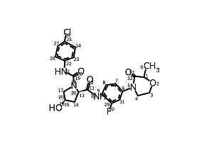 CC1OCCN(c2ccc(NC(=O)[C@H]3C[C@@H](O)CN3C(=O)Nc3ccc(Cl)cc3)c(F)c2)C1=O